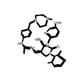 COc1ccc(N2C(=N)/C(=C\N=C(/C)Nc3ccc(CN4CCN(C)CC4)cc3)CN(c3c(C)cccc3C)C2=O)nc1